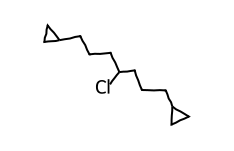 ClC(CCCC1CC1)CCCC1CC1